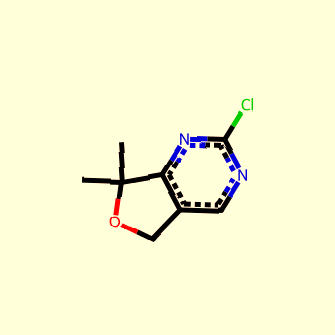 CC1(C)OCc2cnc(Cl)nc21